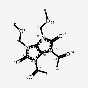 COCn1c(=O)n(C(C)=O)c2c1n(COC)c(=O)n2C(C)=O